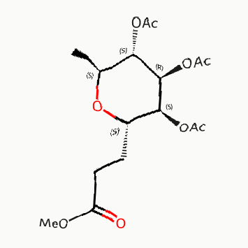 COC(=O)CC[C@@H]1O[C@@H](C)[C@H](OC(C)=O)[C@@H](OC(C)=O)[C@H]1OC(C)=O